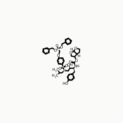 CC(C)CN(C[C@@H](O)[C@H](Cc1ccc(O)cc1)NC(=O)OC1CO[C@H]2OCC[C@@H]12)S(=O)(=O)c1ccc(OCP(=O)(OCc2ccccc2)OCc2ccccc2)cc1